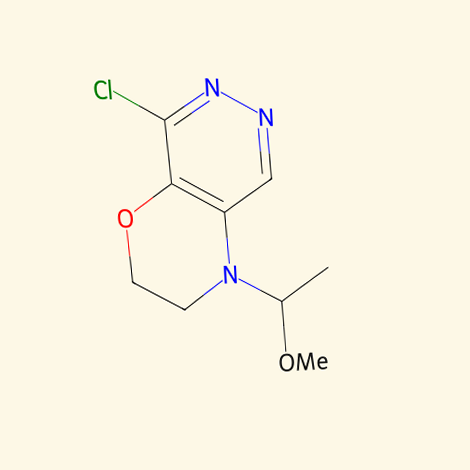 COC(C)N1CCOc2c1cnnc2Cl